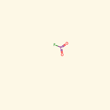 O=P(=O)F